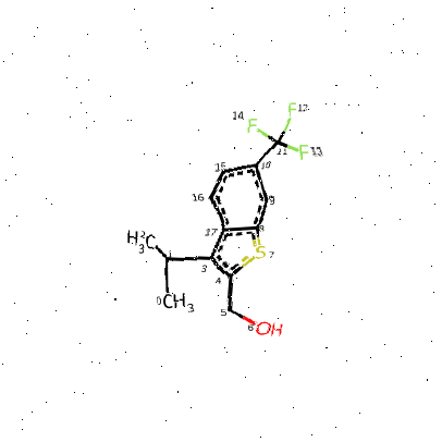 CC(C)c1c(CO)sc2cc(C(F)(F)F)ccc12